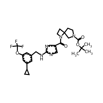 CC(C)(C)OC(=O)N1CCC2(CCN2C(=O)c2cnc(NCc3cc(OC(F)(F)F)cc(C4CC4)c3)nc2)C1